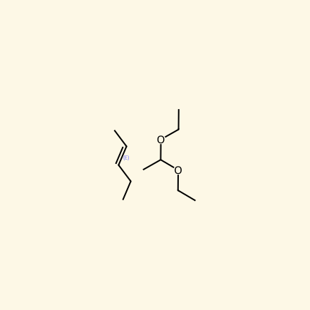 C/C=C/CC.CCOC(C)OCC